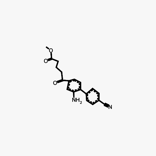 COC(=O)CCCC(=O)c1ccc(-c2ccc(C#N)cc2)c(N)c1